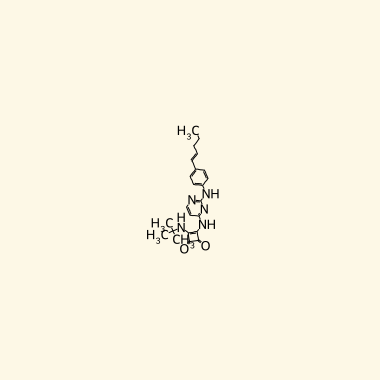 CCCC=Cc1ccc(Nc2nccc(Nc3c(NC(C)(C)C)c(=O)c3=O)n2)cc1